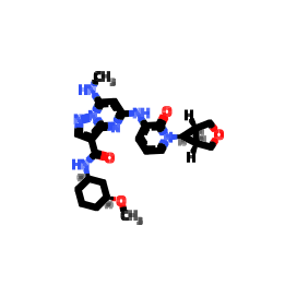 CNc1cc(Nc2cccn([C@H]3[C@@H]4COC[C@@H]43)c2=O)nc2c(C(=O)N[C@@H]3CCC[C@@H](OC)C3)cnn12